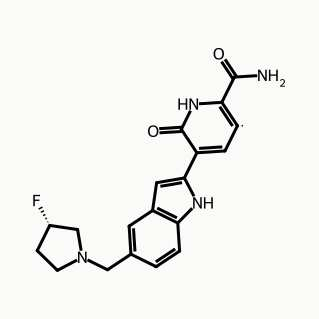 NC(=O)c1[c]cc(-c2cc3cc(CN4CC[C@H](F)C4)ccc3[nH]2)c(=O)[nH]1